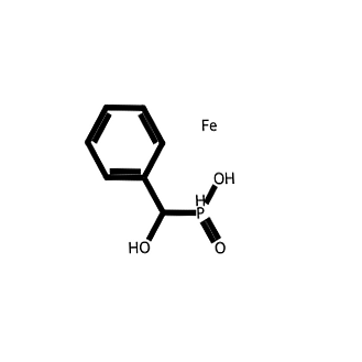 O=[PH](O)C(O)c1ccccc1.[Fe]